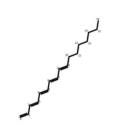 [CH]=C/C=C/C=C/C=C/C=C/CCCCCCC